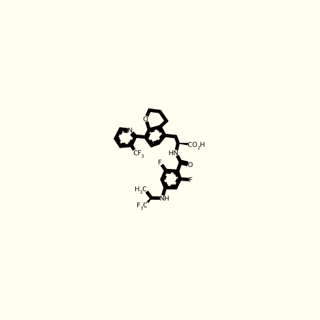 C[C@@H](Nc1cc(F)c(C(=O)N[C@@H](Cc2ccc(-c3ncccc3C(F)(F)F)c3c2CCCO3)C(=O)O)c(F)c1)C(F)(F)F